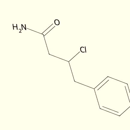 NC(=O)CC(Cl)Cc1ccccc1